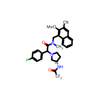 COc1c(C#N)cc2ccccc2c1CN(C)C(=O)C(c1ccc(F)cc1)N1CC[C@H](NC(=O)C(F)(F)F)C1